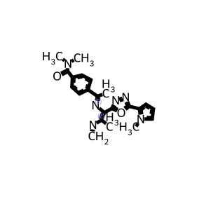 C=N/C(C)=C(\N=C(/C)c1ccc(C(=O)N(C)C)cc1)c1nnc(-c2cccn2C)o1